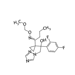 CCC/C(=N\OCOC)C1(C(O)(Cn2cncn2)c2ccc(F)cc2F)CC1